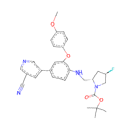 COc1ccc(Oc2cc(-c3cncc(C#N)c3)ccc2NC[C@@H]2C[C@@H](F)CN2C(=O)OC(C)(C)C)cc1